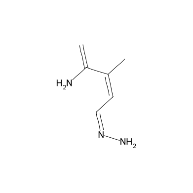 C=C(N)/C(C)=C\C=N/N